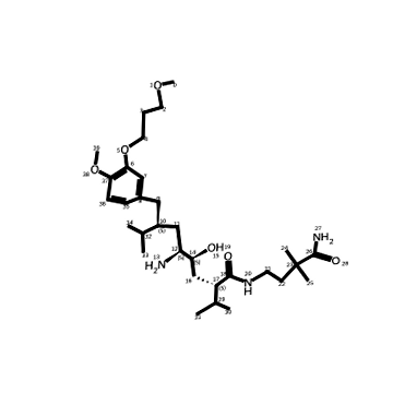 COCCCOc1cc(C[C@@H](C[C@H](N)[C@@H](O)C[C@H](C(=O)NCCC(C)(C)C(N)=O)C(C)C)C(C)C)ccc1OC